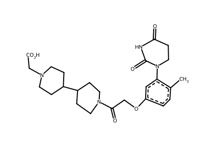 Cc1ccc(OCC(=O)N2CCC(C3CCN(CC(=O)O)CC3)CC2)cc1N1CCC(=O)NC1=O